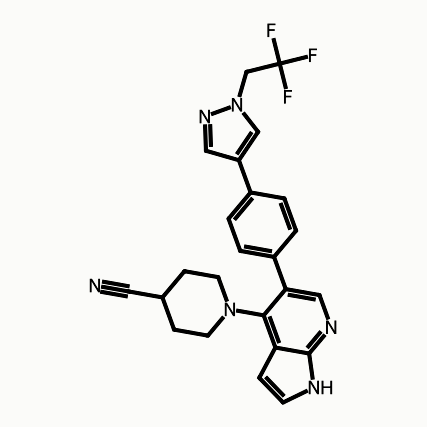 N#CC1CCN(c2c(-c3ccc(-c4cnn(CC(F)(F)F)c4)cc3)cnc3[nH]ccc23)CC1